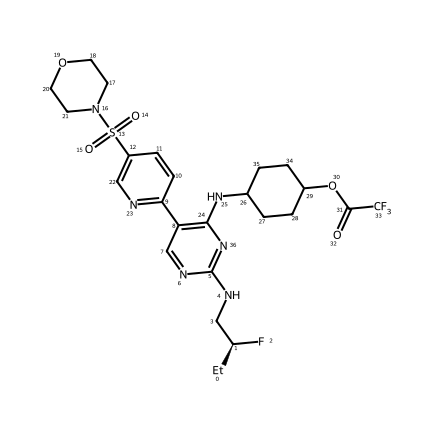 CC[C@H](F)CNc1ncc(-c2ccc(S(=O)(=O)N3CCOCC3)cn2)c(NC2CCC(OC(=O)C(F)(F)F)CC2)n1